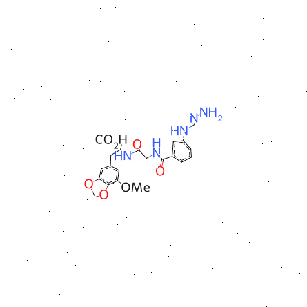 COc1cc(CC(NC(=O)CNC(=O)c2cccc(NC=NN)c2)C(=O)O)cc2c1OCO2